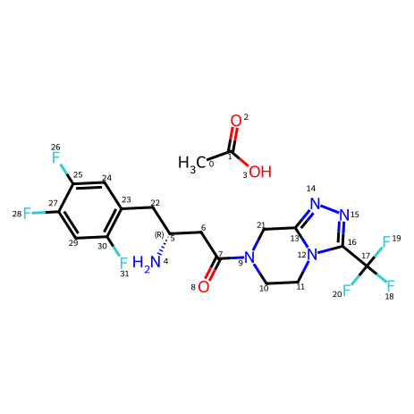 CC(=O)O.N[C@@H](CC(=O)N1CCn2c(nnc2C(F)(F)F)C1)Cc1cc(F)c(F)cc1F